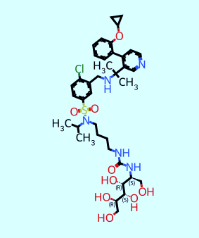 CC(C)N(CCCCNC(=O)N[C@@H](CO)[C@@H](O)[C@H](O)[C@H](O)CO)S(=O)(=O)c1ccc(Cl)c(CNC(C)(C)c2cnccc2-c2ccccc2OC2CC2)c1